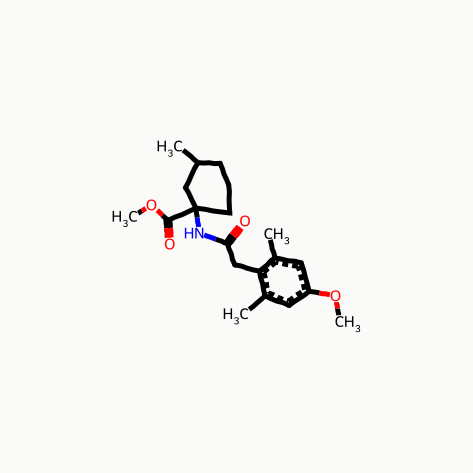 COC(=O)C1(NC(=O)Cc2c(C)cc(OC)cc2C)CCCC(C)C1